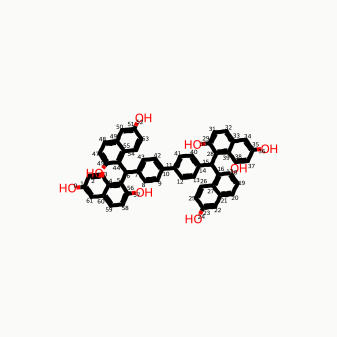 Oc1ccc2c(C(c3ccc(-c4ccc(C(c5c(O)ccc6cc(O)ccc56)c5c(O)ccc6cc(O)ccc56)cc4)cc3)c3c(O)ccc4cc(O)ccc34)c(O)ccc2c1